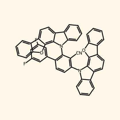 N#Cc1c(-n2c3ccccc3c3ccc4c5ccccc5oc4c32)ccc(-c2cc(F)cc(F)c2)c1-n1c2ccccc2c2ccc3c4ccccc4oc3c21